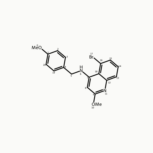 COc1ccc(CNc2cc(OC)nc3cccc(Br)c23)cc1